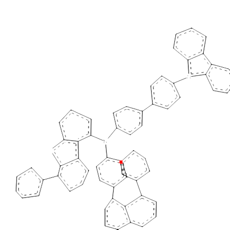 c1ccc(-c2cccc3c2sc2cccc(N(c4ccc(-c5ccc(-n6c7ccccc7c7ccccc76)cc5)cc4)c4ccc(-c5cccc6cccc(-c7ccccc7)c56)cc4)c23)cc1